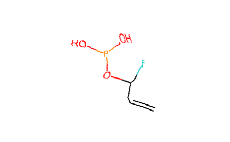 C=CC(F)OP(O)O